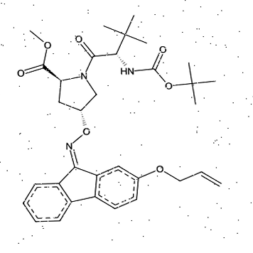 C=CCOc1ccc2c(c1)C(=NO[C@@H]1C[C@@H](C(=O)OC)N(C(=O)[C@@H](NC(=O)OC(C)(C)C)C(C)(C)C)C1)c1ccccc1-2